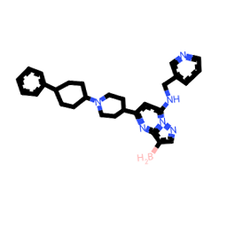 Bc1cnn2c(NCc3cccnc3)cc(C3CCN(C4CCC(c5ccccc5)CC4)CC3)nc12